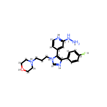 NNc1cc(-c2c(-c3ccc(F)cc3)ncn2CCCN2CCOCC2)ccn1